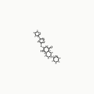 O=c1nc(Cc2nc(-c3ccco3)no2)[nH]c2ccc(-c3ccccn3)cc12